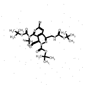 [2H]C([2H])([2H])N(C(=O)OC(C)(C)C)c1nc(Br)cc2c1C(=C=O)N(C(=O)OC(C)(C)C)N=C2CNC(=O)OC(C)(C)C